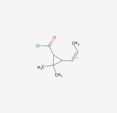 C/C=C\C1C(C(=O)Cl)C1(C)C